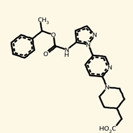 CC(OC(=O)Nc1ccnn1-c1ccc(N2CCC(CC(=O)O)CC2)nc1)c1ccccc1